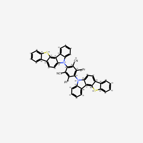 CC(C)c1c(C#N)c(-n2c3ccccc3c3c4sc5ccccc5c4ccc32)c(C#N)c(C(C)C)c1-n1c2ccccc2c2c3sc4ccccc4c3ccc21